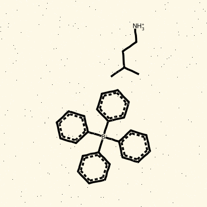 CC(C)CC[NH3+].c1ccc([B-](c2ccccc2)(c2ccccc2)c2ccccc2)cc1